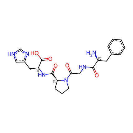 N[C@@H](Cc1ccccc1)C(=O)NCC(=O)N1CCC[C@H]1C(=O)N[C@@H](Cc1c[nH]cn1)C(=O)O